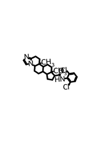 CC12CCC3C(CCC4n5ccnc5CCC34C)C1CCC2C(=O)Nc1c(Cl)cccc1Cl